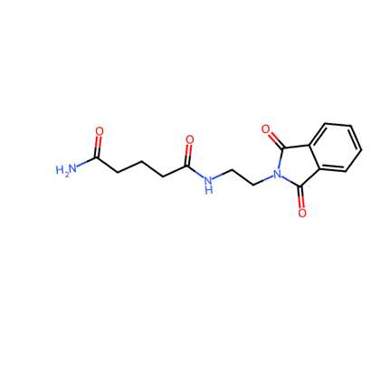 NC(=O)CCCC(=O)NCCN1C(=O)c2ccccc2C1=O